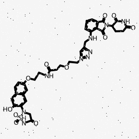 O=C(CCOCCn1cc(CNc2cccc3c2C(=O)N(C2CCC(=O)NC2=O)C3=O)nn1)NCCOc1ccc2cc(O)c(N3CC(=O)NS3(=O)=O)cc2c1